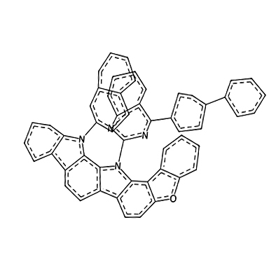 c1ccc(-c2ccc(-c3nc(-n4c5c(ccc6oc7ccccc7c65)c5ccc6c7ccccc7n(-c7ccc8ccccc8c7)c6c54)nc4ccccc34)cc2)cc1